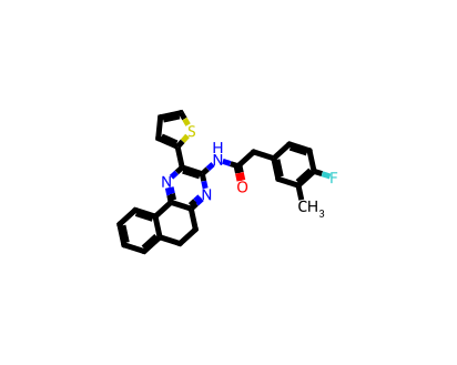 Cc1cc(CC(=O)Nc2nc3c(nc2-c2cccs2)-c2ccccc2CC3)ccc1F